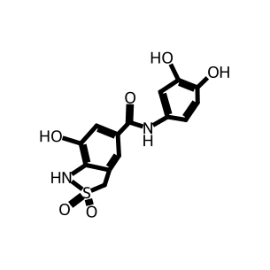 O=C(Nc1ccc(O)c(O)c1)c1cc(O)c2c(c1)CS(=O)(=O)N2